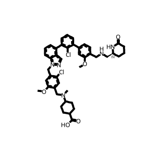 COc1cc(-c2cccc(-c3cccc4c3cnn4Cc3cc(OC)c(CN(C)C4CCC(C(=O)O)CC4)cc3Cl)c2Cl)ccc1CNC[C@@H]1CCCC(=O)N1